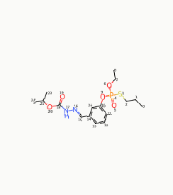 CCCSP(=O)(OCC)Oc1cccc(C=NNC(=O)OC(C)C)c1